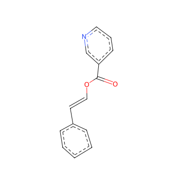 O=C(OC=Cc1ccccc1)c1cccnc1